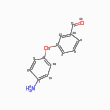 Nc1ccc(Oc2cccc(C=O)c2)cc1